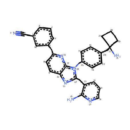 N#Cc1cccc(-c2ccc3nc(-c4cccnc4N)n(-c4ccc(C5(N)CCC5)cc4)c3n2)c1